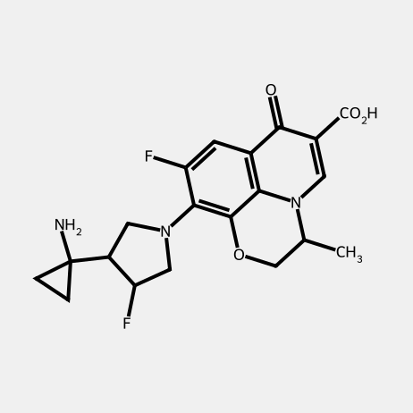 CC1COc2c(N3CC(F)C(C4(N)CC4)C3)c(F)cc3c(=O)c(C(=O)O)cn1c23